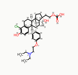 CCN(CC)CCOc1ccc([C@H]2C[C@@]3(C)[C@@H](CC[C@@]3(O)CCOC(=O)O)[C@@H]3CCc4c(ccc(O)c4Cl)[C@H]32)cc1